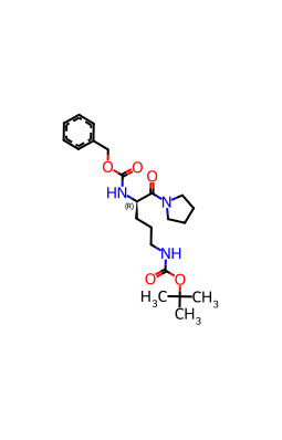 CC(C)(C)OC(=O)NCCC[C@@H](NC(=O)OCc1ccccc1)C(=O)N1CCCC1